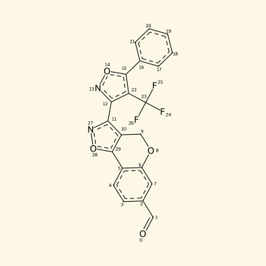 O=Cc1ccc2c(c1)OCc1c(-c3noc(-c4ccccc4)c3C(F)(F)F)noc1-2